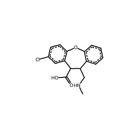 CNCC1c2ccccc2Oc2ccc(Cl)cc2C1C(=O)O